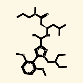 CCCN(C)C(=O)C[C@H](CC(C)C)NC(O)c1cc(-c2c(OC)cccc2OC)n(CC(CC)CC)n1